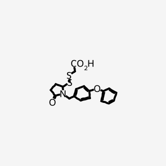 O=C(O)CSSC1CCC(=O)N1Cc1ccc(Oc2ccccc2)cc1